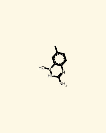 Cc1ccc2c(c1)B(O)NC(N)=N2